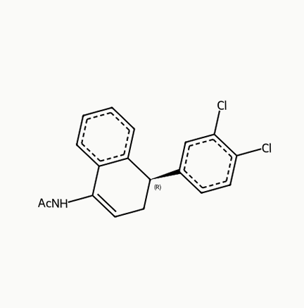 CC(=O)NC1=CC[C@H](c2ccc(Cl)c(Cl)c2)c2ccccc21